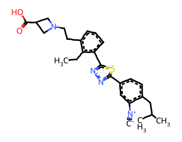 [C-]#[N+]c1cc(-c2nnc(-c3cccc(CCN4CC(C(=O)O)C4)c3CC)s2)ccc1CC(C)C